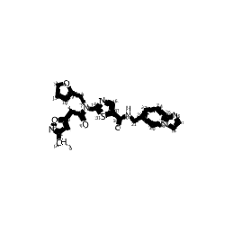 Cc1cc(CC(=O)N(CC2CCCO2)c2ncc(C(=O)NCc3ccc4nccn4c3)s2)on1